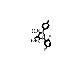 Cc1ccc(N2CN(c3cc(F)ccc3F)c3n[nH]cc3C2N)cc1